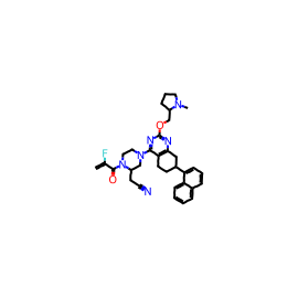 C=C(F)C(=O)N1CCN(c2nc(OCC3CCCN3C)nc3c2CCC(c2cccc4ccccc24)C3)CC1CC#N